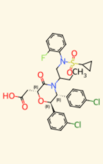 CCC(CN(c1ccccc1F)S(=O)(=O)C1CC1)N1C(=O)[C@@H](CC(=O)O)O[C@H](c2cccc(Cl)c2)[C@H]1c1ccc(Cl)cc1